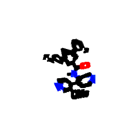 COc1cnccc1-c1ccncc1N(C)C(=O)c1cc(C(F)(F)F)cc(C(F)(F)F)c1